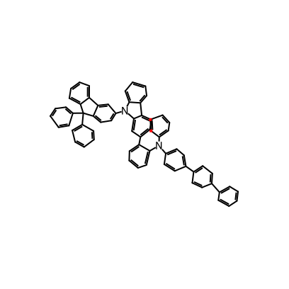 c1ccc(-c2ccc(-c3ccc(N(c4ccccc4)c4ccccc4-c4ccc5c6ccccc6n(-c6ccc7c(c6)-c6ccccc6C7(c6ccccc6)c6ccccc6)c5c4)cc3)cc2)cc1